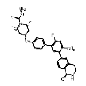 C[C@@H]1CC(Oc2ccc(-c3cc(-c4ccc5c(c4)CCNC5=O)c(N)nc3F)cc2)C[C@H](C)N1C(=O)OC(C)(C)C